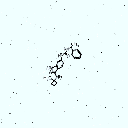 C[C@@H](NC(=O)Nc1cc2[nH]nc(NC3(C)CCC3)c2cn1)c1ccccc1